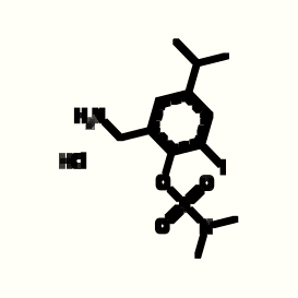 CC(C)c1cc(I)c(OS(=O)(=O)N(C)C)c(CN)c1.Cl